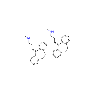 CNCCC=C1c2ccccc2CCc2ccccc21.CNCCC=C1c2ccccc2CCc2ccccc21